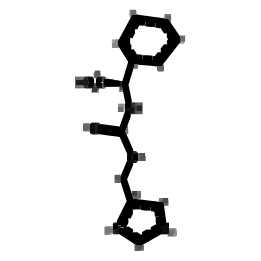 O=C(N[C@@H](C(=O)O)c1ccccc1)OCc1cncs1